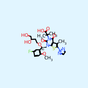 COc1ccc(F)cc1[C@H](Cn1c(=O)n(C(C)(C)C(=O)O)c(=O)c2c(C)c(-n3nccn3)sc21)OCCC(O)CO